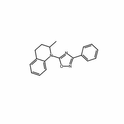 CC1CCc2ccccc2N1c1nc(-c2ccccc2)no1